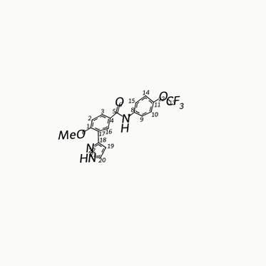 COc1ccc(C(=O)Nc2ccc(OC(F)(F)F)cc2)cc1-c1cc[nH]n1